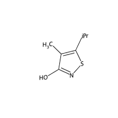 Cc1c(O)nsc1C(C)C